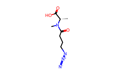 C[C@@H](C(=O)O)N(C)C(=O)CCCN=[N+]=[N-]